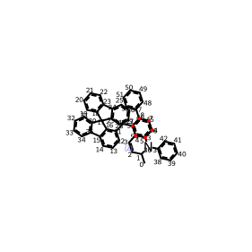 CC(/C=C\c1ccccc1Cc1cccc2c1C1(c3ccccc3-c3ccccc31)c1ccccc1-2)N(c1ccccc1)c1ccc(-c2ccccc2)cc1